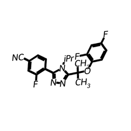 CC(C)n1c(-c2ccc(C#N)cc2F)nnc1C(C)(C)Oc1ccc(F)cc1F